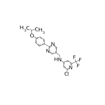 CC(C)Oc1ccc(-c2ncc(CNc3cc(Cl)nc(C(F)(F)F)c3)cn2)cc1